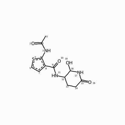 CC(=O)Nc1sccc1C(=O)NC1CCC(=O)NC1O